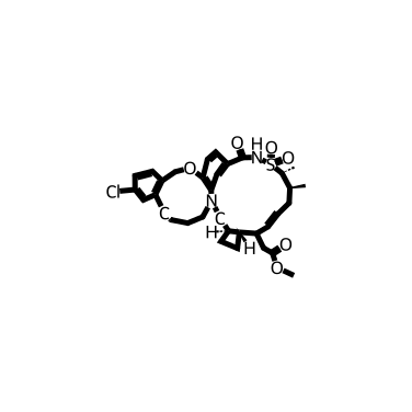 COC(=O)CC1/C=C/C[C@H](C)[C@@H](C)S(=O)(=O)NC(=O)c2ccc3c(c2)N(CCCCc2cc(Cl)ccc2CO3)C[C@@H]2CC[C@@H]12